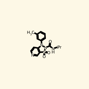 Cc1cccc(N2c3ccncc3S(=O)(=O)N2C(=O)NC(C)C)c1